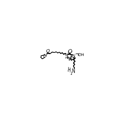 NCCCCCc1cn([C@@H](CO)C(=O)NCCCCCCCCCCC(=O)N2CCCCC2)nn1